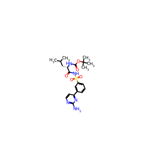 CC(C)C[C@H](NC(=O)OC(C)(C)C)C(=O)NS(=O)(=O)c1cccc(-c2ccnc(N)n2)c1